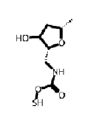 C[C@H]1CC(O)[C@@H](CNC(=O)OS)O1